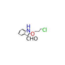 O=Cc1c(OCCCCl)[nH]c2ccccc12